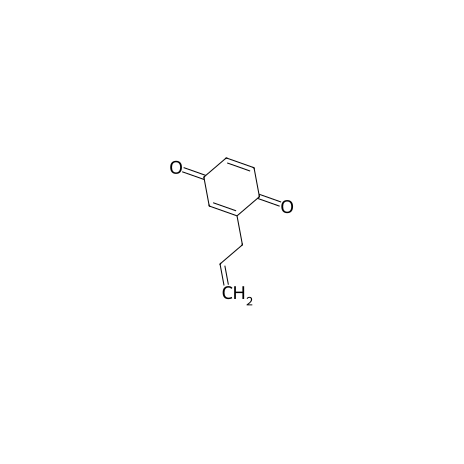 C=CCC1=CC(=O)C=CC1=O